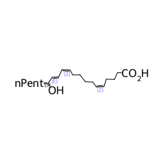 CCCCC[C@H](O)/C=C/C=C\CCCC/C=C\CCCC(=O)O